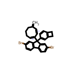 C=C1/C=C\C(C2(c3ccc4c(c3)CC4)c3cc(Br)ccc3-c3ccc(Br)cc32)=C/CCC1